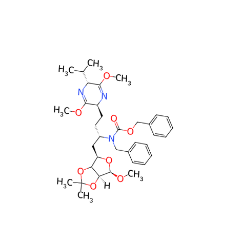 COC1=N[C@H](C(C)C)C(OC)=N[C@H]1CC[C@@H](C[C@H]1O[C@@H](OC)[C@H]2OC(C)(C)OC12)N(Cc1ccccc1)C(=O)OCc1ccccc1